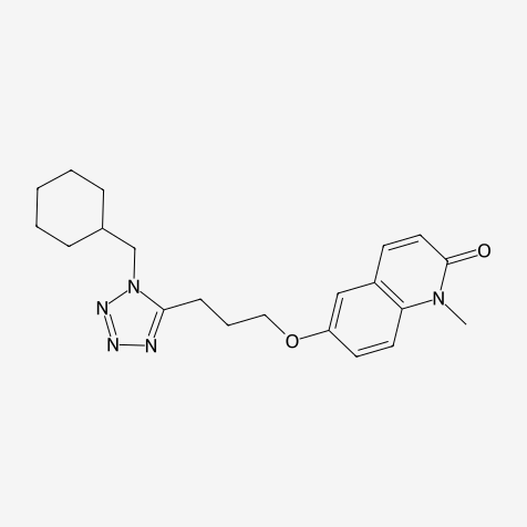 Cn1c(=O)ccc2cc(OCCCc3nnnn3CC3CCCCC3)ccc21